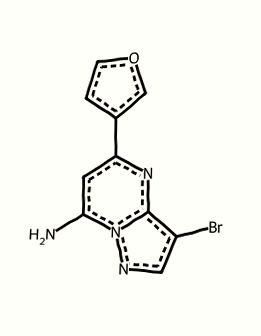 Nc1cc(-c2ccoc2)nc2c(Br)cnn12